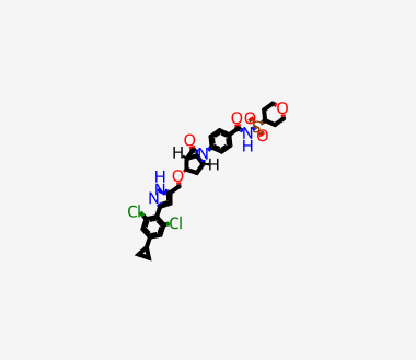 O=C(NS(=O)(=O)C1CCOCC1)c1ccc(N2C(=O)[C@@H]3C[C@H]2C[C@H]3OCc2cc(-c3c(Cl)cc(C4CC4)cc3Cl)n[nH]2)cc1